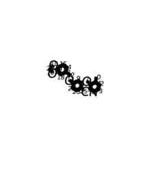 Cc1[c]cccc1Oc1cc(OCc2ccc3c(c2)OCO3)ccc1C#N